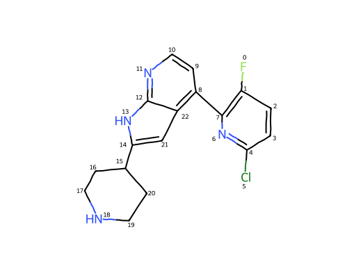 Fc1ccc(Cl)nc1-c1ccnc2[nH]c(C3CCNCC3)cc12